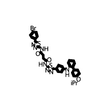 CC(C)Oc1ccc(-c2ccccc2Nc2ccc(-c3nnc(NC(=O)CCC(=O)Nc4nnc(-c5ccc(Br)cc5)s4)s3)cc2)cc1